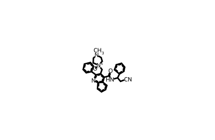 CN1CC[N+]([O-])(Cc2c(-c3ccccc3)nc3ccccc3c2C(=O)NC(CC#N)c2ccccc2)CC1